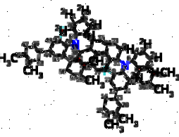 [2H]c1c([2H])c([2H])c(N(c2c(F)cc(-c3ccc(C)c(C)c3)cc2-c2ccc(C)c(C)c2)c2ccc3ccc4c(N(c5c(F)cc(-c6ccc(C)c(C)c6)cc5-c5ccc(C)c(C)c5)c5c([2H])c([2H])c([2H])c([2H])c5[2H])ccc5ccc2c3c54)c([2H])c1[2H]